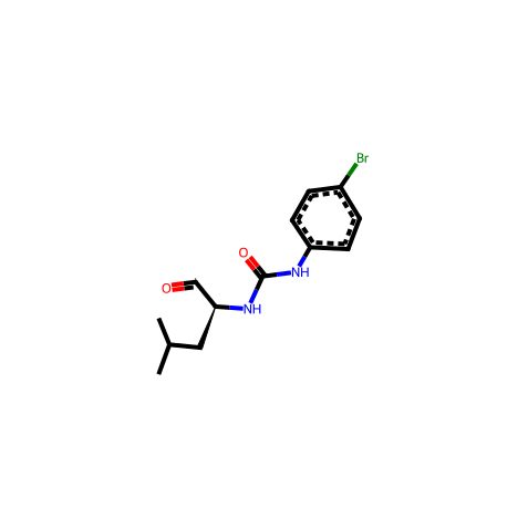 CC(C)C[C@@H]([C]=O)NC(=O)Nc1ccc(Br)cc1